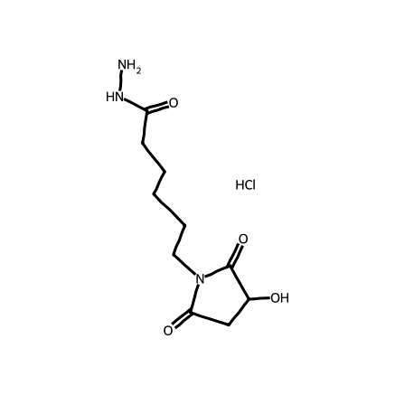 Cl.NNC(=O)CCCCCN1C(=O)CC(O)C1=O